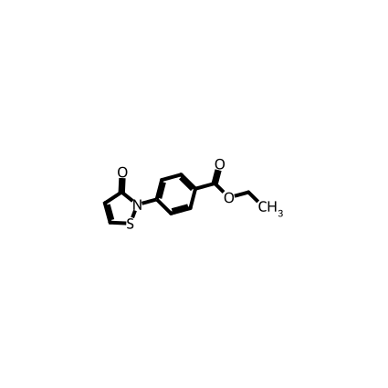 CCOC(=O)c1ccc(-n2sccc2=O)cc1